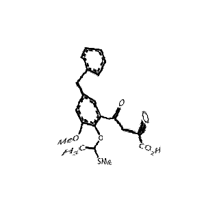 COc1cc(Cc2ccccc2)cc(C(=O)CC(=O)C(=O)O)c1OC(C)SC